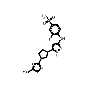 CC(C)(C)c1cnc(C2CCC(c3cc(Nc4ccc(S(N)(=O)=O)cc4F)n[nH]3)C2)o1